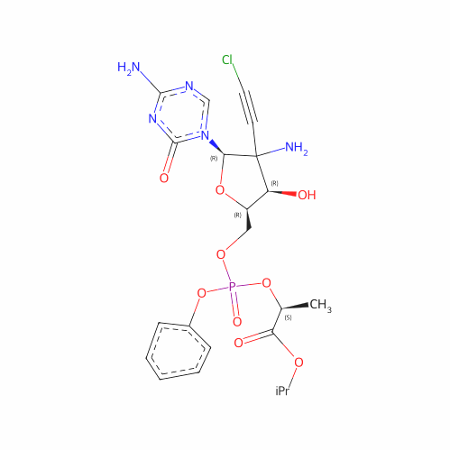 CC(C)OC(=O)[C@H](C)OP(=O)(OC[C@H]1O[C@@H](n2cnc(N)nc2=O)C(N)(C#CCl)[C@H]1O)Oc1ccccc1